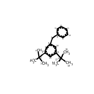 CC(C)(C)c1cc(Cc2ccccc2)cc(C(C)(C)C)c1